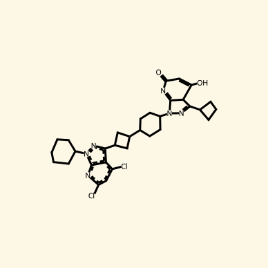 O=C1C=C(O)C2C(C3CCC3)=NN(C3CCC(C4CC(c5nn(C6CCCCC6)c6nc(Cl)cc(Cl)c56)C4)CC3)C2=N1